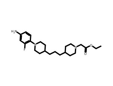 CCOC(=O)CN1CCC(CCCC2CCN(c3ccc(N)cc3F)CC2)CC1